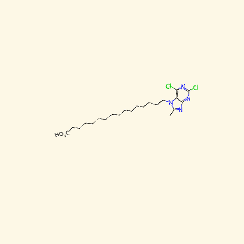 Cc1nc2nc(Cl)nc(Cl)c2n1CCCCCCCCCCCCCCCC(=O)O